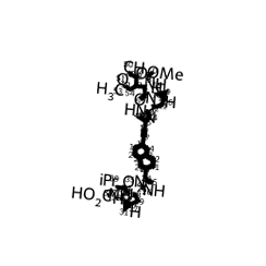 COC(=O)N[C@H](C(=O)N1[C@@H]2C[C@@H]2C[C@H]1c1nc(C#Cc2ccc3cc(-c4c[nH]c([C@@H]5C[C@H]6C[C@H]6N5C(=O)[C@@H](NC(=O)O)C(C)C)n4)ccc3c2)c[nH]1)C1C[C@@H](C)O[C@@H](C)C1